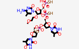 COCCO[C@H]1C(OP(=O)(S)OC[C@H]2O[C@@H](n3cc(C)c(=O)[nH]c3=O)C[C@H]2OP(=O)(S)OC[C@@H]2CC[C@@H](n3cc(C)c(=O)[nH]c3=O)O2)[C@@H](COP(=O)(O)S)O[C@H]1n1cc(C)c(N)nc1=O